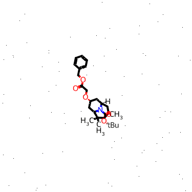 C[C@H]1C[C@@H]2C[C@H](OCC(=O)OCc3ccccc3)CC(N2C(=O)OC(C)(C)C)C(C)(C)C1